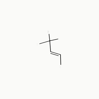 FC=CC(F)(F)Cl